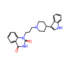 O=c1[nH]c(=O)n(CCCN2CCC(c3c[nH]c4ccccc34)CC2)c2ccccc12